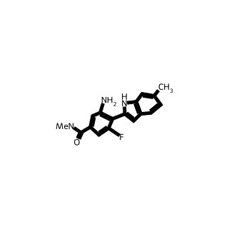 CNC(=O)c1cc(N)c(-c2cc3ccc(C)cc3[nH]2)c(F)c1